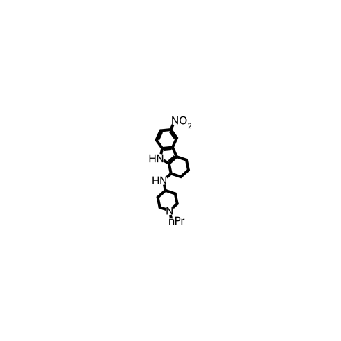 CCCN1CCC(NC2CCCc3c2[nH]c2ccc([N+](=O)[O-])cc32)CC1